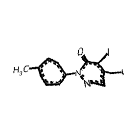 Cc1ccc(-n2ncc(I)c(I)c2=O)cc1